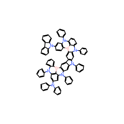 c1ccc(N(c2ccccc2)c2cc3c4c(c2)N(c2ccccc2)c2cc5c(cc2B4c2ccccc2N3c2ccccc2)c2cc3c(cc2n5-c2ccccc2)N(c2ccccc2)c2cccc4c2B3c2ccc(-n3c5ccccc5c5ccccc53)cc2N4c2ccccc2)cc1